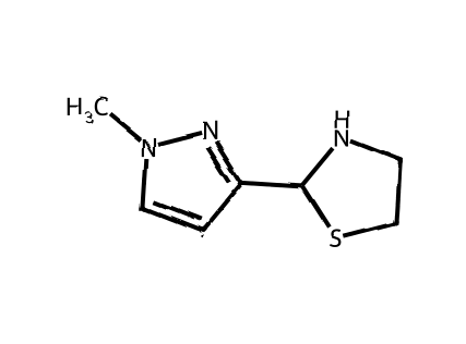 Cn1c[c]c(C2NCCS2)n1